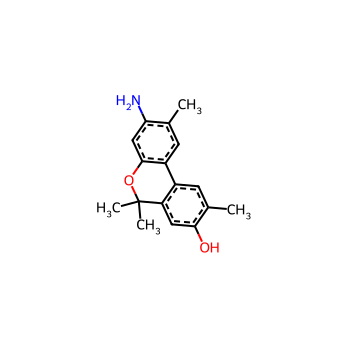 Cc1cc2c(cc1N)OC(C)(C)c1cc(O)c(C)cc1-2